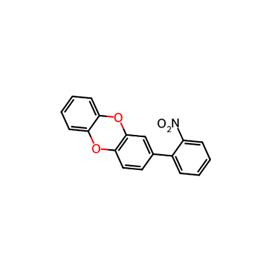 O=[N+]([O-])c1ccccc1-c1ccc2c(c1)Oc1ccccc1O2